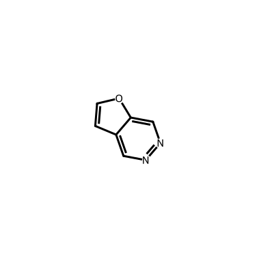 c1cc2cnncc2o1